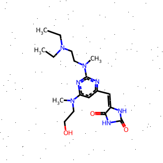 CCN(CC)CCN(C)c1nc(C=C2NC(=O)NC2=O)cc(N(C)CCO)n1